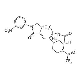 O=C(O)C1=C(/C=C2\CCN(c3cccc([N+](=O)[O-])c3)C2=O)C2CCN(C(=O)C(F)(F)F)[C@@H]3C(=O)N1[C@H]23